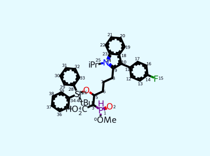 CO[PH](=O)C(C(=O)O)C(CCCc1c(-c2ccc(F)cc2)c2ccccc2n1C(C)C)O[Si](c1ccccc1)(c1ccccc1)C(C)(C)C